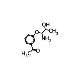 CC(=O)c1cccc(OC(N)C(C)O)c1